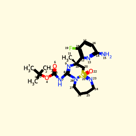 CC(C)(C)OC(=O)NC1=N[C@](C)(c2nc(N)ccc2F)CS2(=O)=NCCCCN12